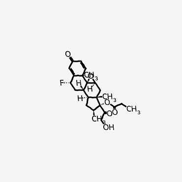 CCC(=O)O[C@]1(C(=O)CO)[C@@H](C)C[C@H]2[C@@H]3C[C@H](F)C4=CC(=O)C=C[C@]4(C)[C@@]34O[C@H]4C[C@@]21C